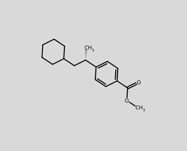 COC(=O)c1ccc([C@@H](C)CC2CCCCC2)cc1